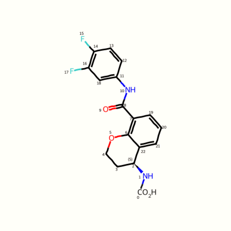 O=C(O)N[C@H]1CCOc2c(C(=O)Nc3ccc(F)c(F)c3)cccc21